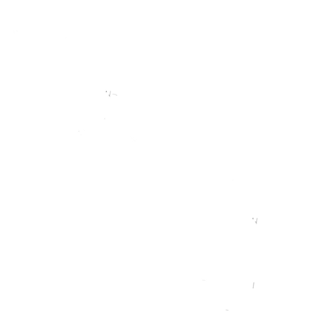 CCC(CCC[C@H](C)C(=O)Nc1ccc(Cl)cc1)COc1ccc(C(F)(F)F)cn1